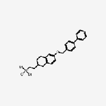 CC[N+]([O-])(CC)CCC1CCc2cc(OCc3ccc(-c4ccccc4)cc3)ccc2C1